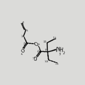 C=CCC(=O)OC(=O)C(N)(CC)CC